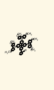 COc1ccc2c(c1)c1cc(OC)ccc1n2-c1ccc(C(c2ccc(-c3ccccc3C#N)cc2)(c2ccc(-n3c4ccc(OC)cc4c4cc(OC)ccc43)cc2)c2ccc(-n3c4ccc(OC)cc4c4cc(OC)ccc43)cc2)cc1